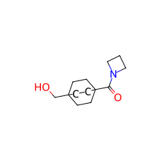 O=C(N1CCC1)C12CCC(CO)(CC1)CC2